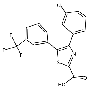 O=C(O)c1nc(-c2cccc(Cl)c2)c(-c2cccc(C(F)(F)F)c2)s1